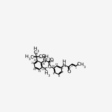 CC=CC(=O)Nc1cccc(OC(=O)N(C)c2c(C)cccc2C(C)(C)C)c1